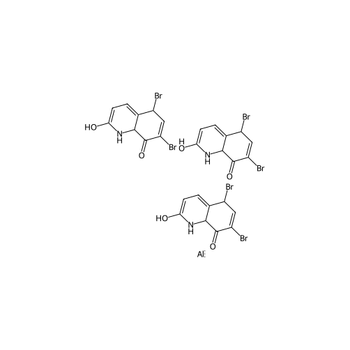 O=C1C(Br)=CC(Br)C2=CC=C(O)NC12.O=C1C(Br)=CC(Br)C2=CC=C(O)NC12.O=C1C(Br)=CC(Br)C2=CC=C(O)NC12.[Al]